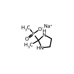 CC1(P(C)(=O)[O-])NCCN1.[Na+]